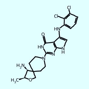 C[C@@H]1OCC2(CCN(c3nc4[nH]cc(Nc5cccc(Cl)c5Cl)c4c(=O)[nH]3)CC2)[C@@H]1N